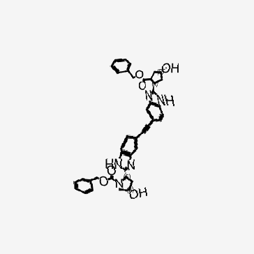 O=C(OCc1ccccc1)C1C[C@H](O)C[C@H]1c1nc2cc(C#Cc3ccc4[nH]c([C@@H]5C[C@@H](O)CN5C(=O)OCc5ccccc5)nc4c3)ccc2[nH]1